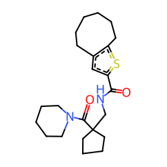 O=C(NCC1(C(=O)N2CCCCC2)CCCC1)c1cc2c(s1)CCCCCC2